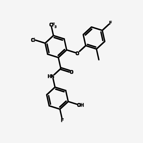 Cc1cc(F)ccc1Oc1cc(C(F)(F)F)c(Cl)cc1C(=O)Nc1ccc(F)c(O)c1